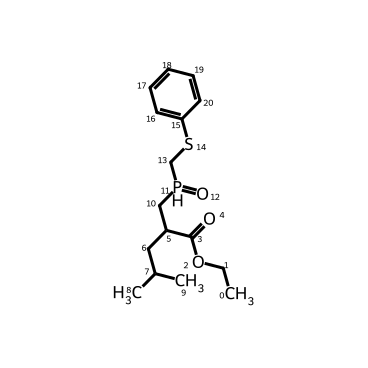 CCOC(=O)C(CC(C)C)C[PH](=O)CSc1ccccc1